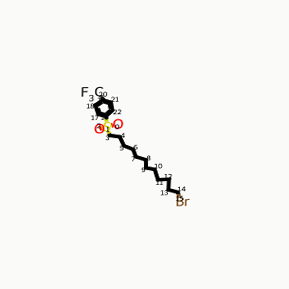 O=S(=O)(CCCCCCCCCCCCBr)c1ccc(C(F)(F)F)cc1